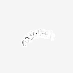 CC(C)(C)OC(=O)N1CCC(O)(CN2Cc3nccn3CC2=O)C2(CCCC2)C1